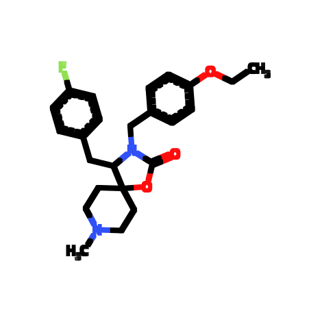 CCOc1ccc(CN2C(=O)OC3(CCN(C)CC3)C2Cc2ccc(F)cc2)cc1